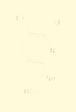 O=C(O)Nc1ccc(C(F)(F)F)c(Cl)n1